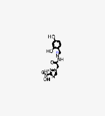 O=C(Cn1cnc([NH+]([O-])O)n1)N/N=C/c1ccc(O)cc1O